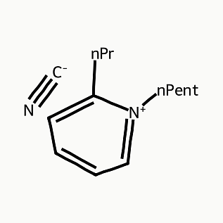 CCCCC[n+]1ccccc1CCC.[C-]#N